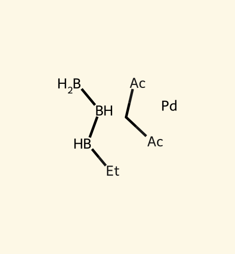 BBBCC.CC(=O)CC(C)=O.[Pd]